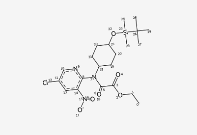 CCOC(=O)C(=O)N(c1ncc(Cl)cc1[N+](=O)[O-])C1CCC(O[Si](C)(C)C(C)(C)C)CC1